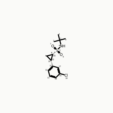 CC(C)(C)NS(=O)(=O)[C@H]1C[C@H]1c1cccc(Cl)c1